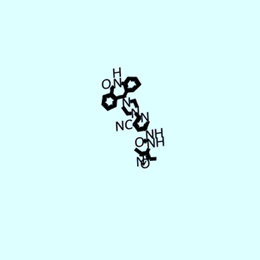 Cc1noc(C)c1NC(=O)Nc1cnc(N2CCN(C3c4ccccc4NC(=O)c4ccccc43)CC2)c(C#N)c1